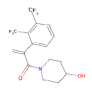 C=C(C(=O)N1CCC(O)CC1)c1cc[c]c(C(F)(F)F)c1C(F)(F)F